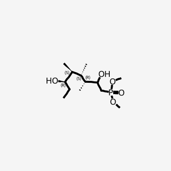 CC[C@@H](O)[C@@H](C)[C@H](C)[C@@H](C)C(O)CP(=O)(OC)OC